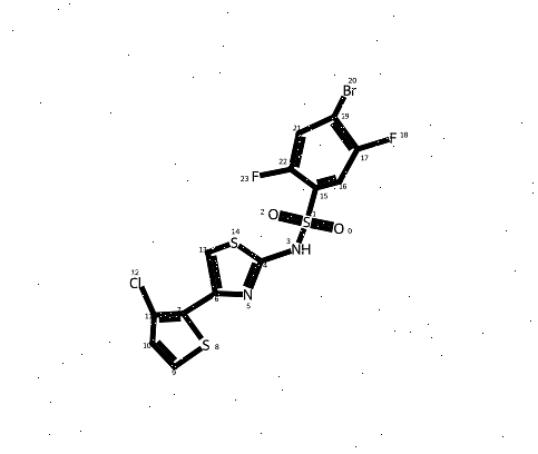 O=S(=O)(Nc1nc(-c2sccc2Cl)cs1)c1cc(F)c(Br)cc1F